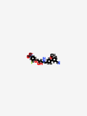 COc1ccc(C#N)cc1-c1ccc(CNCCC(O)COc2ccc([N+](=O)[O-])cc2F)cc1